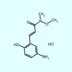 CON(C)C(=O)C=Cc1cc(N)ccc1O.Cl